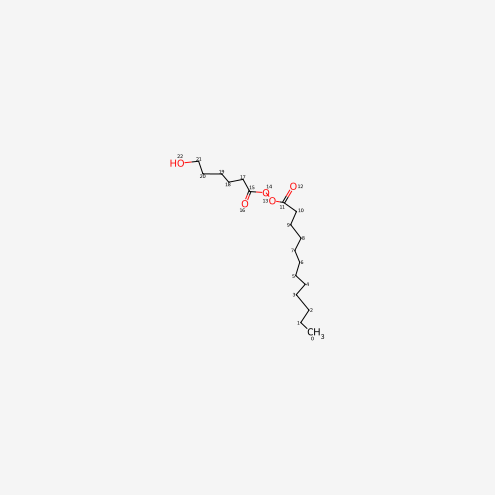 CCCCCCCCCCCC(=O)OOC(=O)CCCCCO